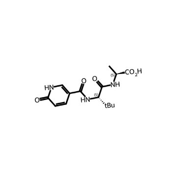 C[C@H](NC(=O)[C@@H](NC(=O)c1ccc(=O)[nH]c1)C(C)(C)C)C(=O)O